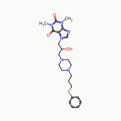 Cn1c(=O)c2c(ncn2CC(O)CN2CCN(CCCSc3ccccc3)CC2)n(C)c1=O